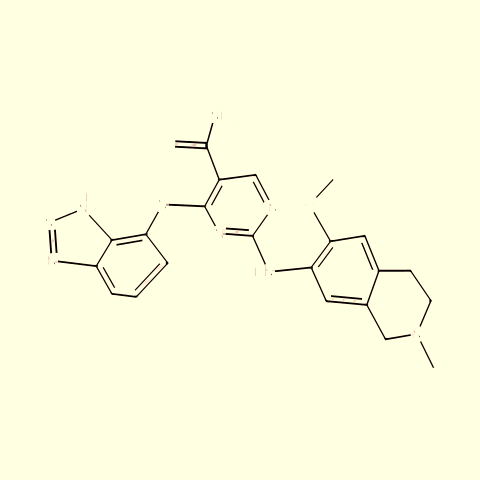 COc1cc2c(cc1Nc1ncc(C(N)=O)c(Nc3cccc4nn[nH]c34)n1)CN(C)CC2